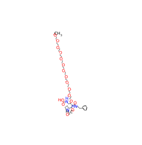 COCCOCCOCCOCCOCCOCCOCCOCCOCCOCCOCCOC(CNC(=O)O)[C@@H](C(=O)NCCc1ccccc1)C(OC)C1CCCN1C=O